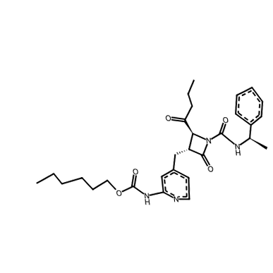 CCCCCCOC(=O)Nc1cc(C[C@H]2C(=O)N(C(=O)N[C@H](C)c3ccccc3)[C@@H]2C(=O)CCC)ccn1